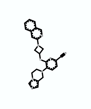 N#Cc1ccc(N2CCn3cncc3C2)c(OC2CN(c3cc4ccccc4cn3)C2)n1